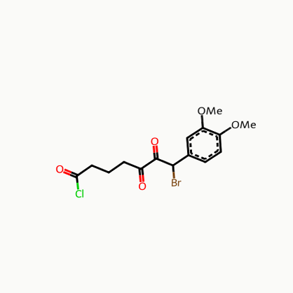 COc1ccc(C(Br)C(=O)C(=O)CCCC(=O)Cl)cc1OC